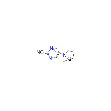 C[Si]1(C)CCCN1c1cnc(C#N)nc1